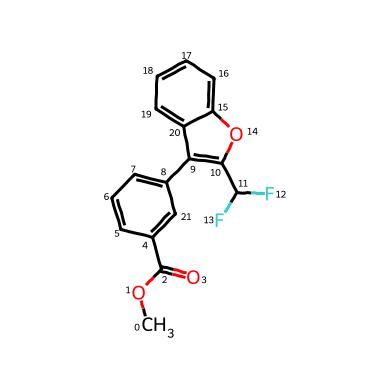 COC(=O)c1cccc(-c2c(C(F)F)oc3ccccc23)c1